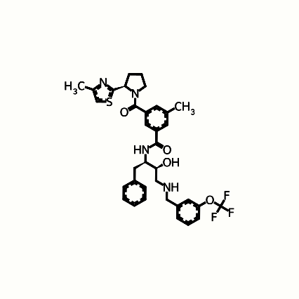 Cc1cc(C(=O)N[C@H](Cc2ccccc2)[C@@H](O)CNCc2cccc(OC(F)(F)F)c2)cc(C(=O)N2CCC[C@@H]2c2nc(C)cs2)c1